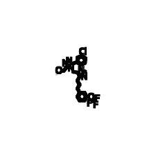 COCc1nnc2n1Cc1c(CCCc3cccc(OC(F)(F)F)c3)ncn1-c1ccc(Cl)cc1-2